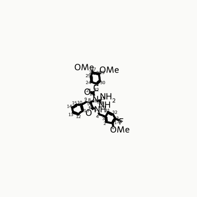 COc1cc(CNC(=O)[C@@H](Cc2ccccc2)N(C(=N)N)C(=O)Cc2ccc(OC)c(OC)c2)ccc1F